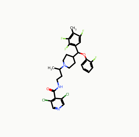 Cc1c(F)cc(C(Oc2ccccc2F)C2CCN(C(C)CCNC(=O)c3c(Cl)cncc3Cl)CC2)c(F)c1F